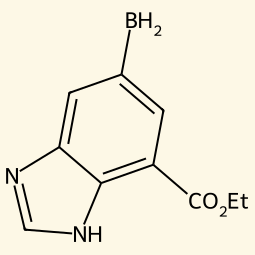 Bc1cc(C(=O)OCC)c2[nH]cnc2c1